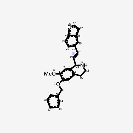 COc1cc2c(cc1OCc1ccccc1)CCNC2/C=C/c1ccc2occc2c1